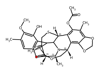 COc1c(C)cc2c(c1O)C1C3[C@@H]4SCC(=O)C(=O)OC[C@@H](c5c6c(c(C)c(OC(C)=O)c54)OCO6)N3[C@@H](C)[C@H](C2)N1C